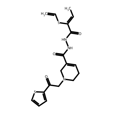 C=CS/C(=C\C)C(=O)NNC(=O)C1=CCCN(CC(=O)c2cccs2)C1